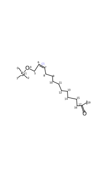 C[Si](C)(C)OC/C=C\CCCCCCCCCC(=O)I